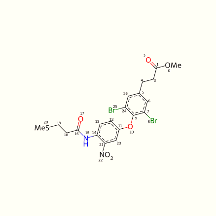 COC(=O)CCc1cc(Br)c(Oc2ccc(NC(=O)CCSC)c([N+](=O)[O-])c2)c(Br)c1